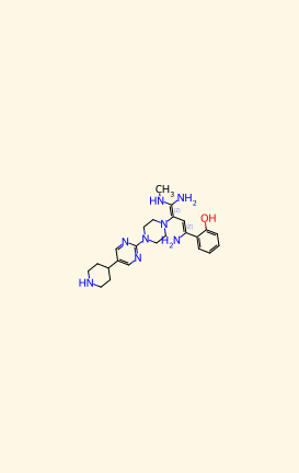 CN/C(N)=C(/C=C(\N)c1ccccc1O)N1CCN(c2ncc(C3CCNCC3)cn2)CC1